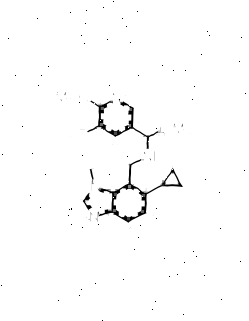 COc1ncc(C(NCc2c(C3CC3)ccc3ncn(C)c23)OC)cc1F